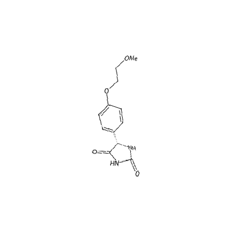 COCCOc1ccc([C@@H]2NC(=O)NC2=O)cc1